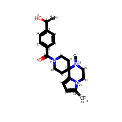 CC(C)C(O)c1ccc(C(=O)N2CCC3(CC2)c2ccc(C(F)(F)F)n2CCN3C)cc1